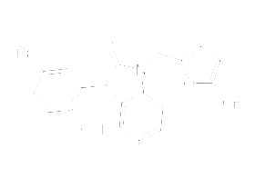 O=C1C(c2cc(Br)ccc2O)c2ccccc2N1Cc1ccc(C(F)(F)F)o1